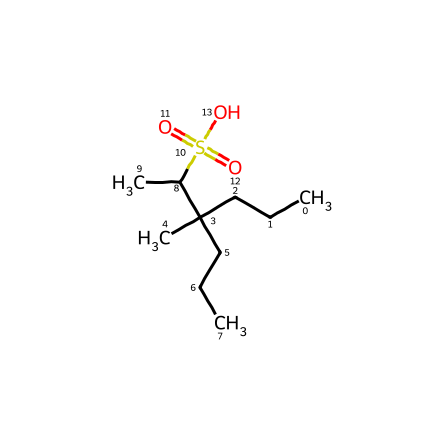 CCCC(C)(CCC)C(C)S(=O)(=O)O